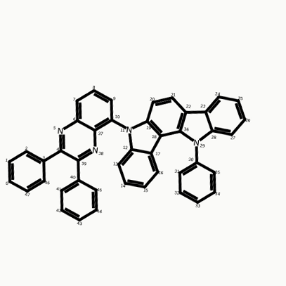 c1ccc(-c2nc3cccc(-n4c5ccccc5c5c4ccc4c6ccccc6n(-c6ccccc6)c45)c3nc2-c2ccccc2)cc1